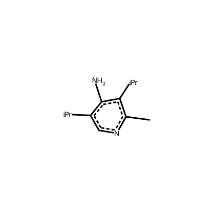 Cc1ncc(C(C)C)c(N)c1C(C)C